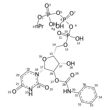 CCCOP(=O)(O)OP(=O)(O)OP(=O)(O)OC[C@H]1O[C@@H](n2ccc(=O)[nH]c2=O)C(OC(=O)Nc2ccccc2)[C@H]1O